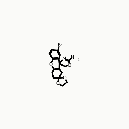 NC1=NC2(CO1)c1cc(Br)ccc1OC1CCC3(CC12)OCCO3